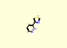 [c]1ccc(-c2cscn2)nn1